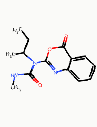 CCC(C)N(C(=O)NC)c1nc2ccccc2c(=O)o1